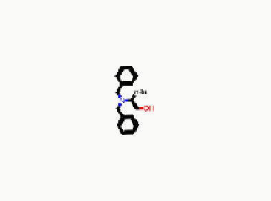 CCCCC(CO)N(Cc1ccccc1)Cc1ccccc1